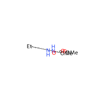 CCC=CCC=CCC=CCCCCCCCCNCCCCNC(=O)C=CC=Cc1ccc(OCOCCOC)c(OC)c1